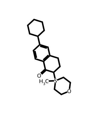 CS1(C2CCc3cc(C4CCCCC4)ccc3C2=O)CCOCC1